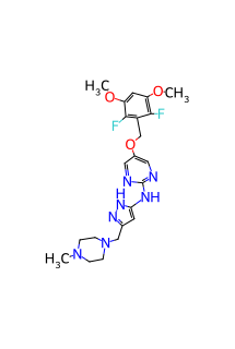 COc1cc(OC)c(F)c(COc2cnc(Nc3cc(CN4CCN(C)CC4)n[nH]3)nc2)c1F